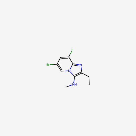 CCc1nc2c(F)cc(Br)cn2c1NC